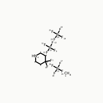 C.FC1(F)CCNCC1.F[B-](F)(F)F.F[B-](F)(F)F.F[B-](F)(F)F